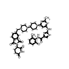 Cc1nc(Nc2ncc(C(=O)Nc3c(C)cccc3Cl)s2)cc(N2CCC(N3CCN(Cc4ccc5c(c4)C(=O)N(C4CCC(=O)NC4=O)C5=O)CC3)CC2)n1